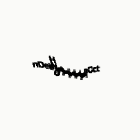 CCCCCCCC/C=C\CCCCCCCC(=O)NCCCCCCCCCC